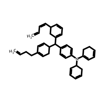 C=C/C=C\C1C=CC=C(C(c2ccc(N(C3=CC=CCC3)C3C=CC=CC3)cc2)C2C=CC(CCC=C)=CC2)C1